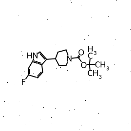 CC(C)(C)OC(=O)N1CCC(c2c[nH]c3cc(F)ccc23)CC1